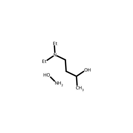 CCN(CC)CCC(C)O.NO